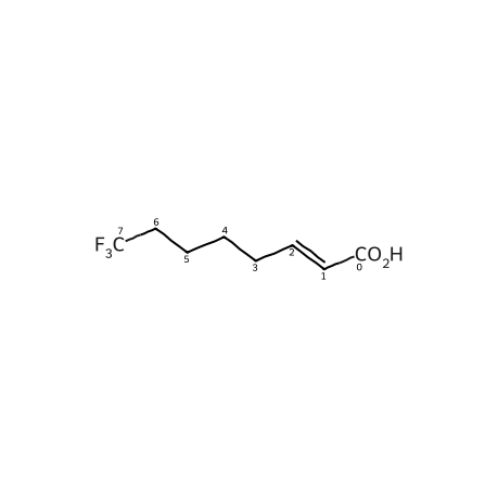 O=C(O)/C=C/CCCCC(F)(F)F